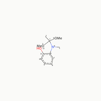 COC(C)(OC)N(C)c1ccccc1O